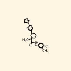 Cc1cc(CNC(=O)N(C)[C@@H]2CCCN(c3ccc(-n4ccnc4)nn3)C2)ccc1Cl